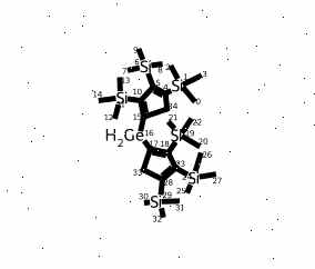 C[Si](C)(C)C1=C([Si](C)(C)C)C([Si](C)(C)C)=[C]([GeH2][C]2=C([Si](C)(C)C)C([Si](C)(C)C)=C([Si](C)(C)C)C2)C1